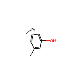 CC(C)C.Cc1cccc(O)c1